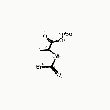 CCCCOC(=O)C(C)NC(=O)Br